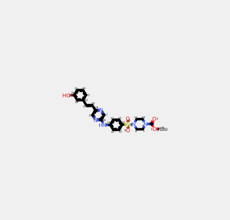 CC(C)(C)OC(=O)N1CCN(S(=O)(=O)c2ccc(Nc3cnc(/C=C/c4cccc(O)c4)cn3)cc2)CC1